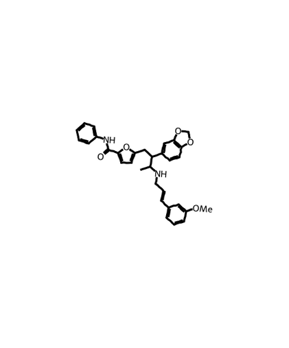 COc1cccc(C=CCNC(C)C(Cc2ccc(C(=O)Nc3ccccc3)o2)c2ccc3c(c2)OCO3)c1